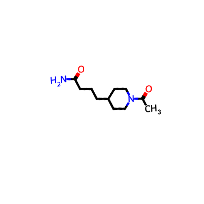 CC(=O)N1CCC(CCCC(N)=O)CC1